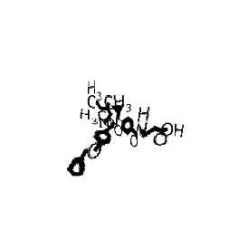 CCCC(C)CC1(C)N=C(c2ccc(OCc3ccccc3)cc2)C(=O)N1[C@@H](c1ccc(C(=O)NCCC(=O)O)cc1)C1CC1